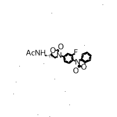 CC(=O)NC[C@H]1CN(c2ccc(-n3c(=O)oc4ccccc43)c(F)c2)C(=O)O1